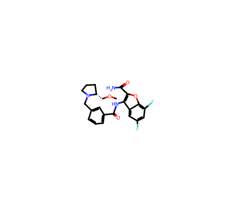 COC[C@H]1CCCN1Cc1cccc(C(=O)Nc2c(C(N)=O)oc3c(F)cc(F)cc23)c1